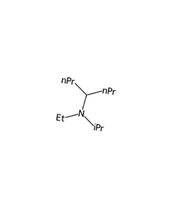 CCCC(CCC)N(CC)C(C)C